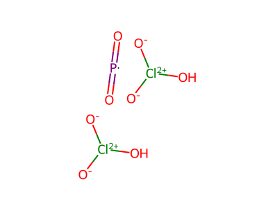 O=[P]=O.[O-][Cl+2]([O-])O.[O-][Cl+2]([O-])O